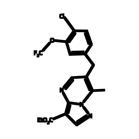 CCOC(=O)c1cnn2c(C)c(Cc3ccc(Cl)c(OC(F)(F)F)c3)cnc12